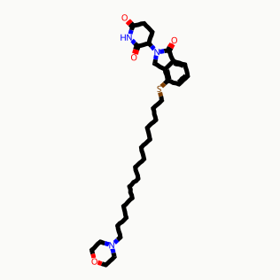 O=C1CCC(N2Cc3c(SCCCCCCCCCCCCCCCN4CCOCC4)cccc3C2=O)C(=O)N1